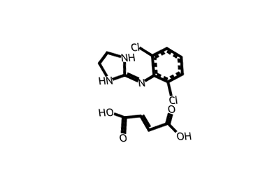 Clc1cccc(Cl)c1N=C1NCCN1.O=C(O)/C=C/C(=O)O